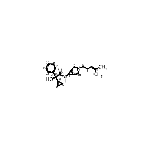 CC(C)=CCCN1CC2C(C1)C2NC(=O)C(O)(c1ccccc1)C1CC1